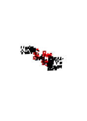 CCCC(COC(=O)OOC(=O)c1ccc(OC)c(OC)c1)(COC(=O)OOC(=O)c1ccc(OC)c(OC)c1)COC(=O)OOC(=O)c1ccc(OC)c(OC)c1